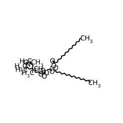 CCCCCCCCCCCCCCCC(=O)OC[C@H](COP(=O)([O-])OCC[N+](C)(C)C1CC(C)(C)N([O])C(C)(C)C1)OC(=O)CCCCCCCCCCCCCCC